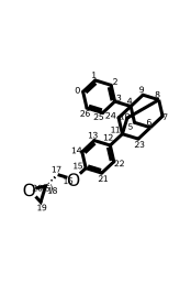 c1ccc(C23CC4CC(C2)CC(c2ccc(OC[C@@H]5CO5)cc2)(C4)C3)cc1